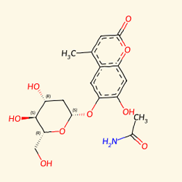 CC(N)=O.Cc1cc(=O)oc2cc(O)c(O[C@H]3C[C@@H](O)[C@H](O)[C@@H](CO)O3)cc12